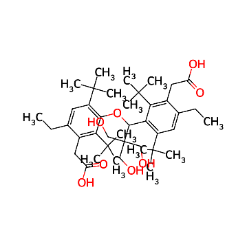 CCc1cc(C(C)(C)C)c(OC(c2c(C(C)(C)C)cc(CC)c(CC(=O)O)c2C(C)(C)C)C(CO)(CO)CO)c(C(C)(C)C)c1CC(=O)O